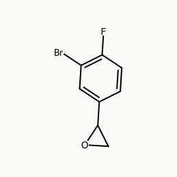 Fc1ccc(C2CO2)cc1Br